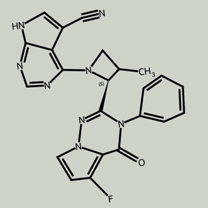 CC1CN(c2ncnc3[nH]cc(C#N)c23)[C@@H]1c1nn2ccc(F)c2c(=O)n1-c1ccccc1